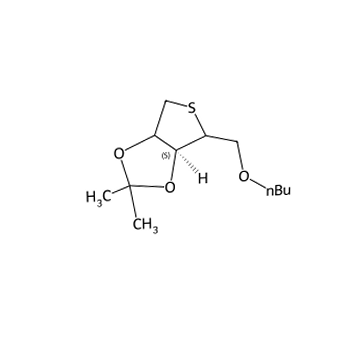 CCCCOCC1SCC2OC(C)(C)O[C@@H]21